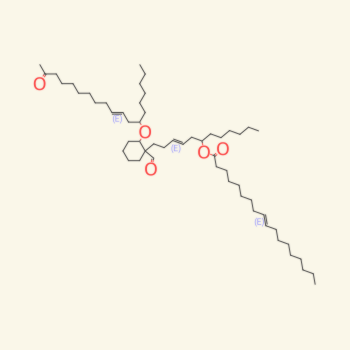 CCCCCCCC/C=C/CCCCCCCC(=O)OC(C/C=C/CCC1(C=O)CCCCC1OC(C/C=C/CCCCCCCC(C)=O)CCCCCC)CCCCCC